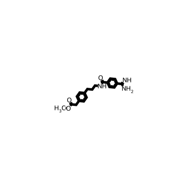 COC(=O)Cc1ccc(CCCNC(=O)c2ccc(C(=N)N)cc2)cc1